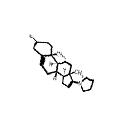 C[C@]12CC[C@H](O)CC1=CC[C@@H]1[C@@H]2CC[C@]2(C)C(N3CCCC3)=CC[C@@H]12